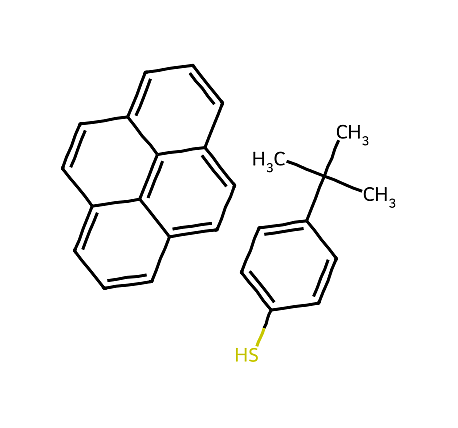 CC(C)(C)c1ccc(S)cc1.c1cc2ccc3cccc4ccc(c1)c2c34